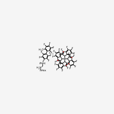 CCCCCC[NH2+]CC(C)CCC.Cc1c(F)c(F)c(F)c(C(F)(F)F)c1-c1c(F)c(F)c(F)c(F)c1F.FC1=C(F)C([B-](C2C(F)=C(F)c3c(F)c(F)c(F)c(F)c32)(C2C(F)=C(F)c3c(F)c(F)c(F)c(F)c32)C2C(F)=C(F)c3c(F)c(F)c(F)c(F)c32)c2c(F)c(F)c(F)c(F)c21